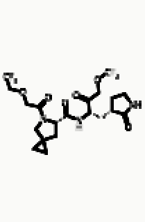 O=C1NCC[C@H]1C[C@H](NC(=O)[C@@H]1CC2(CC2)CN1C(=O)COCC(F)(F)F)C(=O)COC(F)(F)F